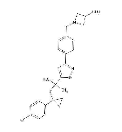 CC(C)(CC1(c2ccc(Cl)cc2)CC1)c1nc(-c2ccc(CN3CC(C(=O)O)C3)cc2)no1